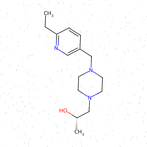 CCc1ccc(CN2CCN(C[C@H](C)O)CC2)cn1